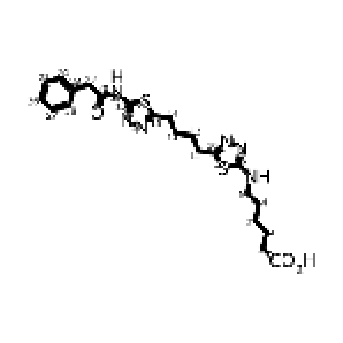 O=C(O)CCCCCNc1nnc(CCCCc2nnc(NC(=O)Cc3ccccc3)s2)s1